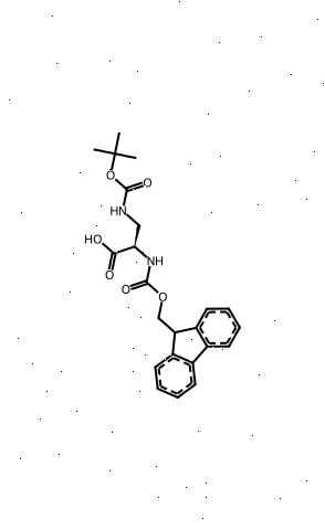 CC(C)(C)OC(=O)NC[C@@H](NC(=O)OCC1c2ccccc2-c2ccccc21)C(=O)O